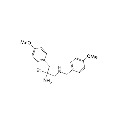 CCC(N)(CNCc1ccc(OC)cc1)Cc1ccc(OC)cc1